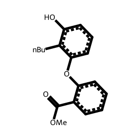 CCCCc1c(O)cccc1Oc1ccccc1C(=O)OC